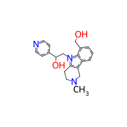 CN1CCc2c(c3cccc(CO)c3n2CC(O)c2ccncc2)C1